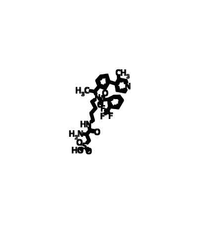 Cc1cnccc1-c1cccc(C(C)N(CCCCNC(=O)C(N)CS(=O)(=O)O)S(=O)(=O)c2ccccc2C(F)(F)F)c1